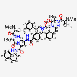 CN[C@@H](C)C(=O)NC(C(=O)N1CCc2ccccc2[C@H]1C(=O)N(CCc1ccccc1)Cc1ccc(C(=O)N[C@H]2CC(C(=O)N[C@@H]3CCCc4ccccc43)N(C(=O)[C@@H](NC(=O)[C@H](C)NC)C(C)(C)C)C2)cc1)C(C)(C)C